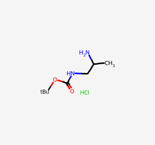 CC(N)CNC(=O)OC(C)(C)C.Cl